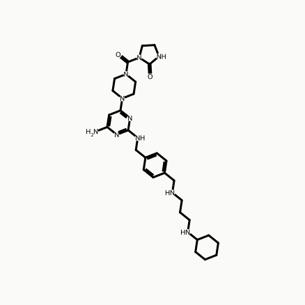 Nc1cc(N2CCN(C(=O)N3CCNC3=O)CC2)nc(NCc2ccc(CNCCCNC3CCCCC3)cc2)n1